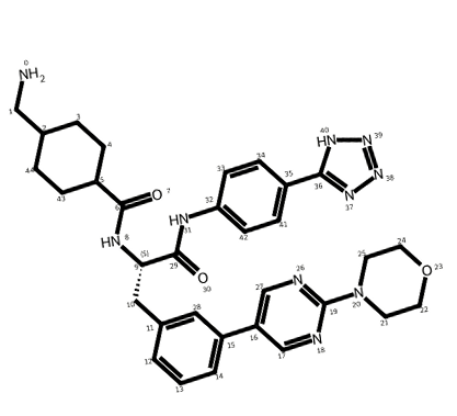 NCC1CCC(C(=O)N[C@@H](Cc2cccc(-c3cnc(N4CCOCC4)nc3)c2)C(=O)Nc2ccc(-c3nnn[nH]3)cc2)CC1